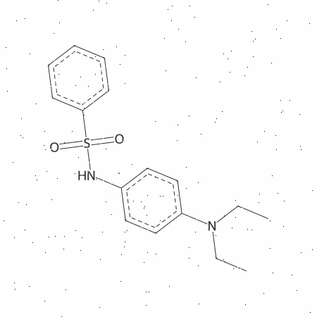 CCN(CC)c1ccc(NS(=O)(=O)c2ccccc2)cc1